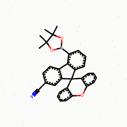 CC1(C)OB(c2cccc3c2-c2ccc(C#N)cc2C32c3ccccc3Oc3ccccc32)OC1(C)C